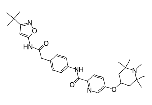 CN1C(C)(C)CC(Oc2ccc(C(=O)Nc3ccc(CC(=O)Nc4cc(C(C)(C)C)no4)cc3)nc2)CC1(C)C